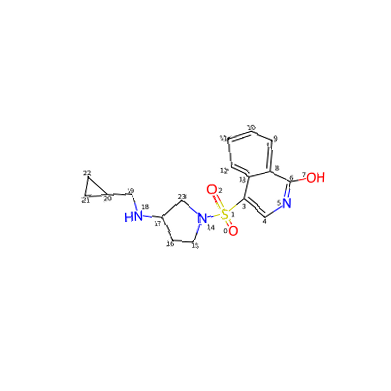 O=S(=O)(c1cnc(O)c2ccccc12)N1CCC(NCC2CC2)C1